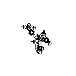 COc1ccc(S(=O)(=O)N(CC(C)C)C[C@@H](O)[C@H](CNc2ccc(CP(=O)(O)O)cc2)NC(=O)O[C@H]2CO[C@H]3OCC[C@H]32)cc1